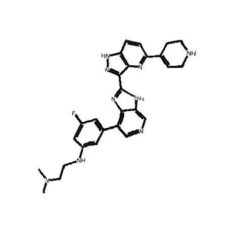 CN(C)CCNc1cc(F)cc(-c2cncc3[nH]c(-c4n[nH]c5ccc(C6=CCNCC6)nc45)nc23)c1